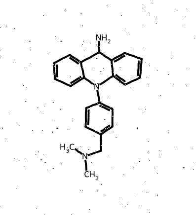 CN(C)Cc1ccc(N2c3ccccc3C(N)c3ccccc32)cc1